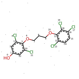 Oc1cc(Cl)c(OCCCOc2c(Cl)ccc(Cl)c2Cl)c(Cl)c1